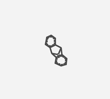 c1ccc2c(c1)C1OC2c2ccccc21